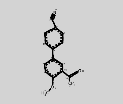 COc1ccc(-c2ccc(C#N)cc2)cc1C(C)=O